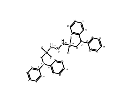 C[Si](C)(CP(c1ccccc1)c1ccccc1)[NH][Zr][NH][Si](C)(C)CP(c1ccccc1)c1ccccc1